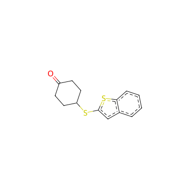 O=C1CCC(Sc2cc3ccccc3s2)CC1